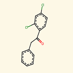 O=C(Cc1ccccc1)c1ccc(Cl)cc1Cl